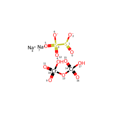 O=S([O-])S(=O)(=O)[O-].[Na+].[Na+].[O]=[Cr](=[O])([OH])[O][Cr](=[O])(=[O])[OH]